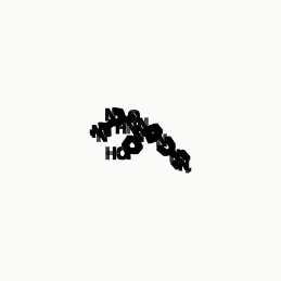 CN1CCN(C2CCN(c3ccc4nc(NC(=O)c5ccnc(-c6cnn(C)c6)c5)n([C@H]5CC[C@@](C)(O)CC5)c4c3)CC2)CC1